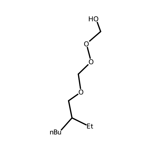 CCCCC(CC)COCOOCO